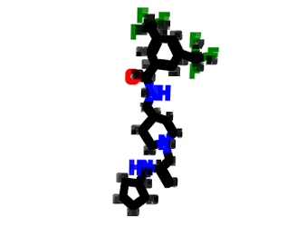 C=C(CN1CCC(CNC(=O)c2cc(C(F)(F)F)cc(C(F)(F)F)c2)CC1)NC1CCCC1